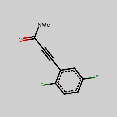 CNC(=O)C#Cc1cc(F)ccc1F